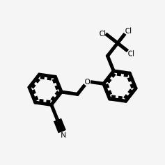 N#Cc1ccccc1COc1ccccc1CC(Cl)(Cl)Cl